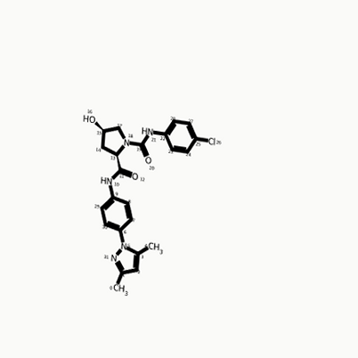 Cc1cc(C)n(-c2ccc(NC(=O)[C@H]3C[C@@H](O)CN3C(=O)Nc3ccc(Cl)cc3)cc2)n1